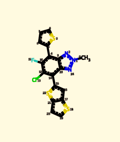 Cn1nc2c(-c3cccs3)c(F)c(Cl)c(-c3cc4sccc4s3)c2n1